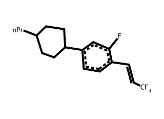 CCCC1CCC(c2ccc(/C=C/C(F)(F)F)c(F)c2)CC1